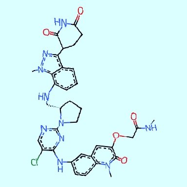 CNC(=O)COc1cc2cc(Nc3nc(N4CCC[C@H]4CNc4cccc5c(C6CCC(=O)NC6=O)nn(C)c45)ncc3Cl)ccc2n(C)c1=O